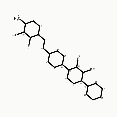 CC1CCC(CCC2CCC(C3CCC(C4CCCCC4)C(F)C3F)CC2)C(F)C1F